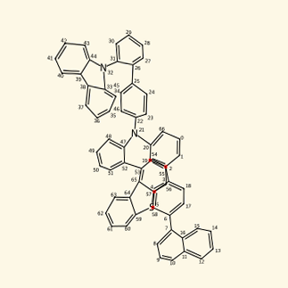 c1cc(-c2ccc(-c3cccc4ccccc34)cc2)cc(N(c2ccc(-c3ccccc3-n3c4ccccc4c4ccccc43)cc2)c2ccccc2-c2cccc3sc4ccccc4c23)c1